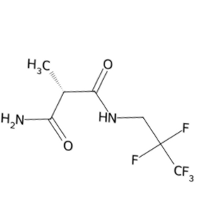 C[C@@H](C(N)=O)C(=O)NCC(F)(F)C(F)(F)F